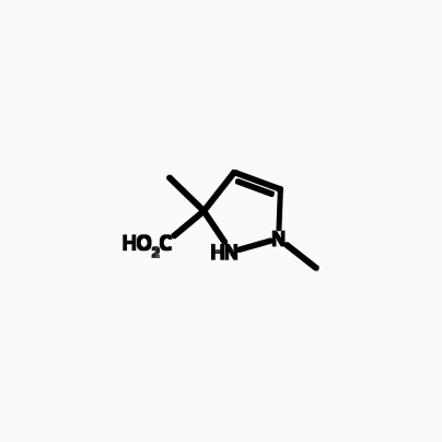 CN1C=CC(C)(C(=O)O)N1